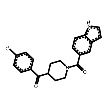 O=C(c1ccc(Cl)cc1)C1CCN(C(=O)c2ccc3[nH]ccc3c2)CC1